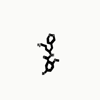 COc1ccc(Br)cc1C(=O)NC(CCN)CC1=COOC=C1